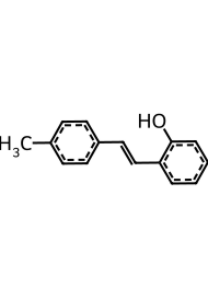 Cc1ccc(/C=C/c2ccccc2O)cc1